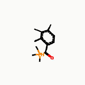 Cc1ccc(C(=O)[PH](C)(C)C)c(C)c1C